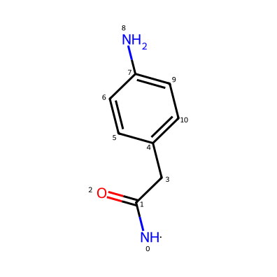 [NH]C(=O)Cc1ccc(N)cc1